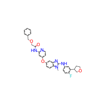 Cn1c(Nc2ccc(F)c(C3CCOC3)c2)nc2cc(Oc3ccnc(NC(=O)COCc4ccccc4)c3)ccc21